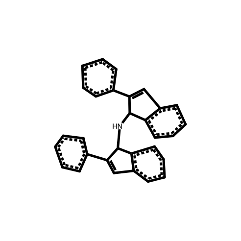 C1=C(c2ccccc2)C(NC2C(c3ccccc3)=Cc3ccccc32)c2ccccc21